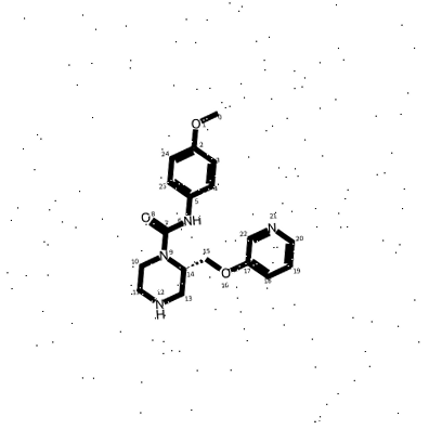 COc1ccc(NC(=O)N2CCNC[C@H]2COc2cccnc2)cc1